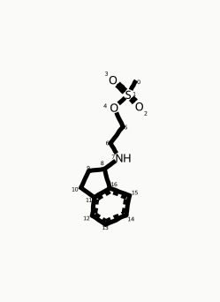 CS(=O)(=O)OCCNC1CCc2ccccc21